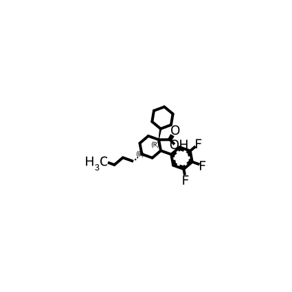 CCCC[C@@H]1CC[C@@](C(=O)O)(C2CCCCC2)C(c2cc(F)c(F)c(F)c2)C1